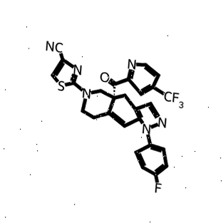 N#Cc1csc(N2CCC3=Cc4c(cnn4-c4ccc(F)cc4)C[C@]3(C(=O)c3cc(C(F)(F)F)ccn3)C2)n1